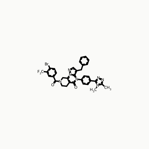 Cc1nnc(-c2ccc(-n3c(=O)c4c(n5ncc(Cc6ccccc6)c35)CN(C(=O)c3ccc(Br)c(C(F)(F)F)c3)CC4)cc2)n1C